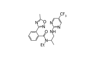 CCN(C(=O)c1ccccc1-c1noc(C)n1)C(C)CNc1ncc(C(F)(F)F)cn1